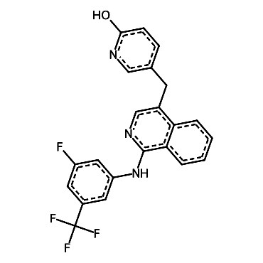 Oc1ccc(Cc2cnc(Nc3cc(F)cc(C(F)(F)F)c3)c3ccccc23)cn1